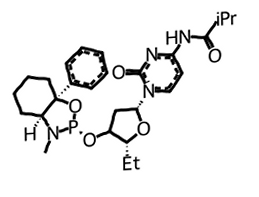 CC[C@H]1O[C@@H](n2ccc(NC(=O)C(C)C)nc2=O)CC1O[P@@]1O[C@]2(c3ccccc3)CCCC[C@@H]2N1C